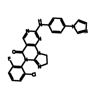 O=C1c2cnc(Nc3ccc(-n4ccnc4)cc3)nc2N2CCN=C2N1c1c(F)cccc1Cl